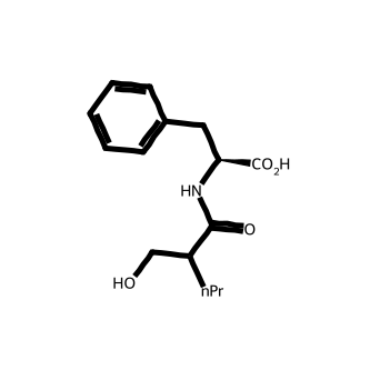 CCCC(CO)C(=O)N[C@@H](Cc1ccccc1)C(=O)O